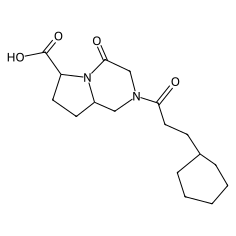 O=C(O)C1CCC2CN(C(=O)CCC3CCCCC3)CC(=O)N21